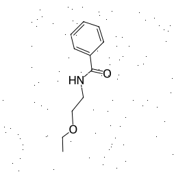 CCOCCNC(=O)c1ccccc1